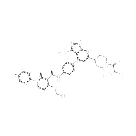 CCOc1ccn(-c2ccc(F)cn2)c(=O)c1C(=O)Nc1ccc(-c2cc(C3CCN(C(=O)C(C)C)CC3)nc3c2c(N)nn3C)cc1